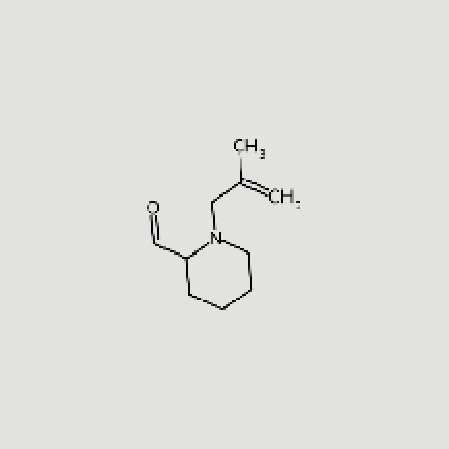 C=C(C)CN1CCCCC1C=O